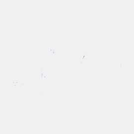 COC(=O)NCCC(I)[C@@](O)(c1cccc(Cl)c1)C1CCCN(C(=O)O)C1